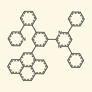 c1ccc(-c2cc(-c3ccccc3)nc(-c3cc(-c4ccccc4-c4ccccn4)cc(-c4cc5cccc6ccc7cccc4c7c65)c3)n2)cc1